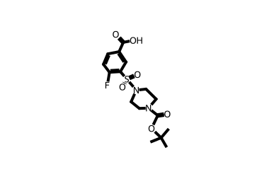 CC(C)(C)OC(=O)N1CCN(S(=O)(=O)c2cc(C(=O)O)ccc2F)CC1